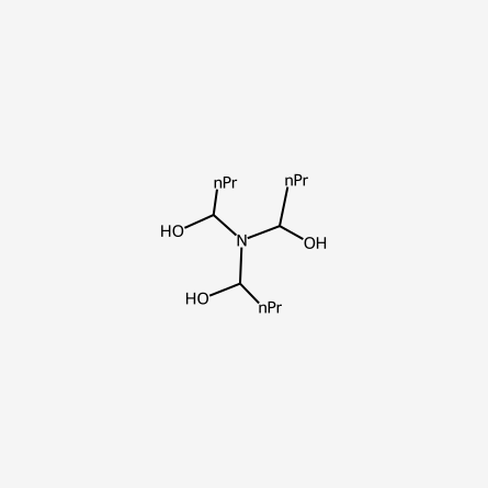 CCCC(O)N(C(O)CCC)C(O)CCC